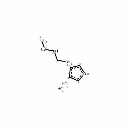 BCBBC.Cl.Cl.c1ccoc1